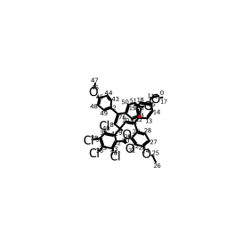 CCOc1ccc(C(=CC2(C=C(c3ccc(OC)cc3)c3ccc(OCC)cc3)OC(=O)c3c(Cl)c(Cl)c(Cl)c(Cl)c32)c2ccc(OC)cc2)cc1